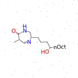 CCCCCCCCC(O)CCCC1CNC(=O)C(C)C=N1